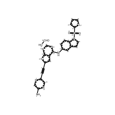 Nc1cnc(C#Cc2cc3c(Nc4ccc5c(ccn5S(=O)(=O)c5cccs5)c4)ncnc3s2)cn1.O=CO